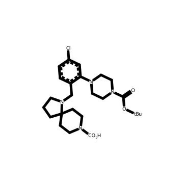 CC(C)(C)OC(=O)N1CCN(c2cc(Cl)ccc2CN2CCCC23CCN(C(=O)O)CC3)CC1